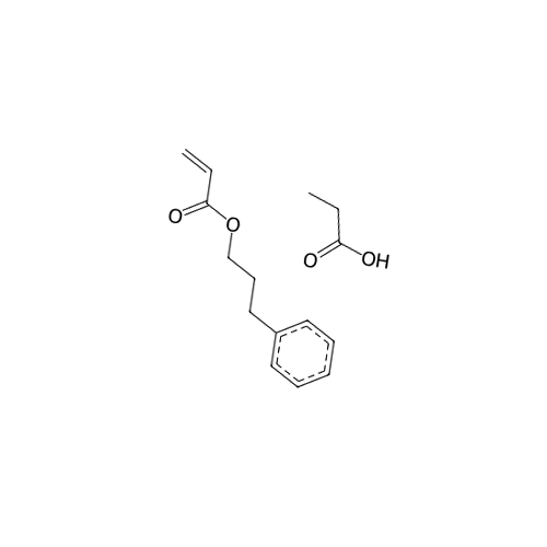 C=CC(=O)OCCCc1ccccc1.CCC(=O)O